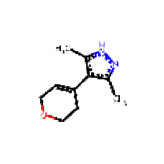 Cc1n[nH]c(C)c1C1=CCOCC1